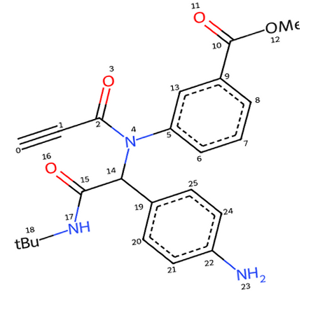 C#CC(=O)N(c1cccc(C(=O)OC)c1)C(C(=O)NC(C)(C)C)c1ccc(N)cc1